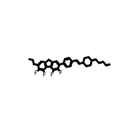 CCCCCC1CCC(C=Cc2ccc(-c3cc4c(c(F)c3F)-c3c(cc(CCC)c(F)c3F)C4)cc2)CC1